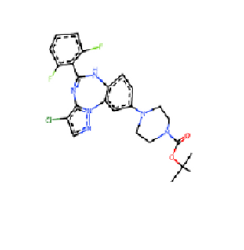 CC(C)(C)OC(=O)N1CCN(c2ccc3c(c2)-n2ncc(Cl)c2N=C(c2c(F)cccc2F)N3)CC1